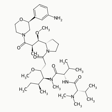 CC[C@H](C)[C@@H]([C@@H](CC(=O)N1CCC[C@H]1[C@H](OC)[C@@H](C)C(=O)N1CCO[C@@H](c2cccc(N)c2)C1)OC)N(C)C(=O)[C@@H](NC(=O)[C@H](C(C)C)N(C)C)C(C)C